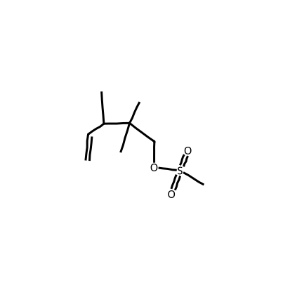 C=CC(C)C(C)(C)COS(C)(=O)=O